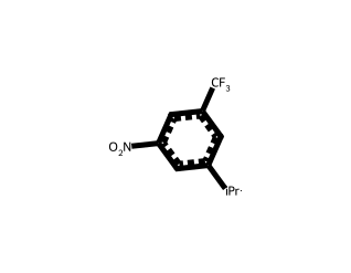 C[C](C)c1cc([N+](=O)[O-])cc(C(F)(F)F)c1